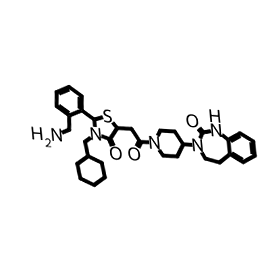 NCc1ccccc1C1SC(CC(=O)N2CCC(N3CCc4ccccc4NC3=O)CC2)C(=O)N1CC1CCCCC1